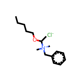 CCCCCOC(C)[N+](C)(C)Cc1ccccc1.[Cl-]